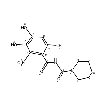 O=C(NC(=O)N1CCCCC1)c1c(C(F)(F)F)cc(O)c(O)c1[N+](=O)[O-]